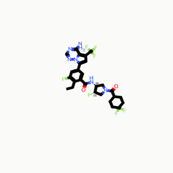 CCc1c(F)cc(-c2cc(C(F)(F)F)c3c(N)ncnn23)cc1C(=O)N[C@@H]1CN(C(=O)C2CCC(F)(F)CC2)C[C@@H]1F